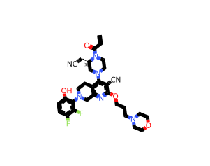 C=CC(=O)N1CCN(c2c(C#N)c(OCCCN3CCOCC3)nc3c2CCN(c2c(O)ccc(F)c2F)C3)C[C@@H]1CC#N